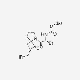 CC[C@H](NC(=O)OC(C)(C)C)C(=O)N1CCCC12CN(CC(C)C)C2=O